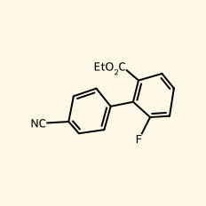 CCOC(=O)c1cccc(F)c1-c1ccc(C#N)cc1